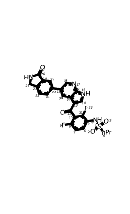 CCCS(=O)(=O)Nc1ccc(F)c(C(=O)c2c[nH]c3ncc(-c4ccc5c(c4)C(=O)NC5)cc23)c1F